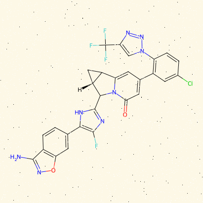 Nc1noc2cc(-c3[nH]c(C4[C@@H]5CC5c5cc(-c6cc(Cl)ccc6-n6cc(C(F)(F)F)nn6)cc(=O)n54)nc3F)ccc12